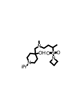 CC(C)N1CCC(O)(CN(C)CCC(C)S(=O)(=O)N2CCC2)CC1